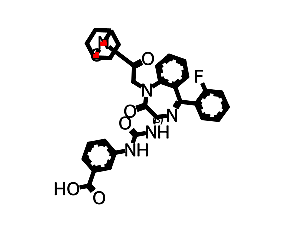 O=C(Nc1cccc(C(=O)O)c1)N[C@H]1N=C(c2ccccc2F)c2ccccc2N(CC(=O)N2CC3CCC(CC3)C2)C1=O